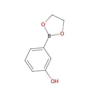 Oc1cccc(B2OCCO2)c1